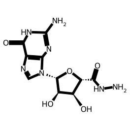 NNC(=O)[C@H]1O[C@@H](n2cnc3c(=O)[nH]c(N)nc32)[C@H](O)[C@@H]1O